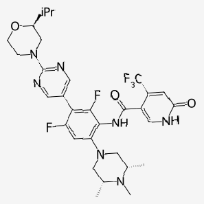 CC(C)[C@H]1CN(c2ncc(-c3c(F)cc(N4C[C@@H](C)N(C)[C@@H](C)C4)c(NC(=O)c4c[nH]c(=O)cc4C(F)(F)F)c3F)cn2)CCO1